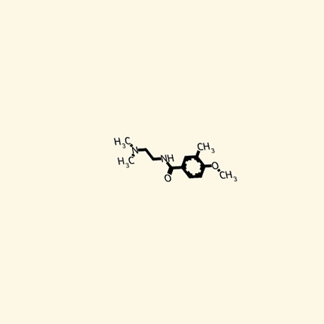 COc1ccc(C(=O)NCCN(C)C)cc1C